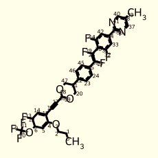 CCCOC1=CC(OC(F)(F)F)C(F)C=C1C#CC1OCC(c2ccc(/C(F)=C(\F)c3c(F)cc(-c4ncc(C)cn4)cc3F)cc2)CO1